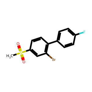 CS(=O)(=O)c1ccc(-c2ccc(F)cc2)c(Br)c1